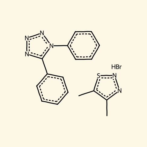 Br.Cc1nnsc1C.c1ccc(-c2nnnn2-c2ccccc2)cc1